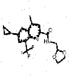 Cc1cc(C(=O)NCC2OCCO2)nc2c(C(F)(F)F)cc(C3CC3)cc12